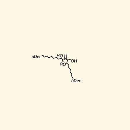 CCCCCCCCCCCCCCCCCCC(O)C(=O)NC(CO)C(O)CCCCCCCCCCCCCCCCC